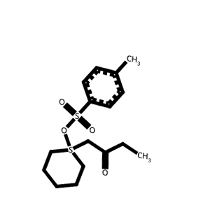 CCC(=O)CS1(OS(=O)(=O)c2ccc(C)cc2)CCCCC1